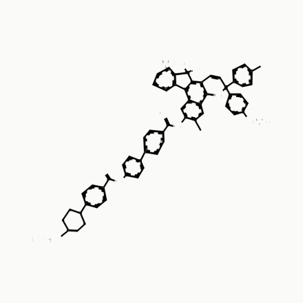 CCCCCC1CCC(c2ccc(C(=O)Oc3ccc(-c4ccc(C(=O)Oc5cc6c7c(c8c(c6cc5C)OC(c5ccc(C)cc5)(c5ccc(OC)cc5)C=C8)C(CC)(OC)c5ccccc5-7)cc4)cc3)cc2)CC1